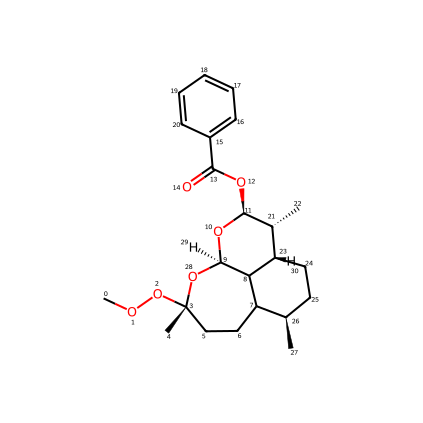 COO[C@@]1(C)CCC2C3[C@H](O[C@@H](OC(=O)c4ccccc4)[C@H](C)[C@@H]3CC[C@H]2C)O1